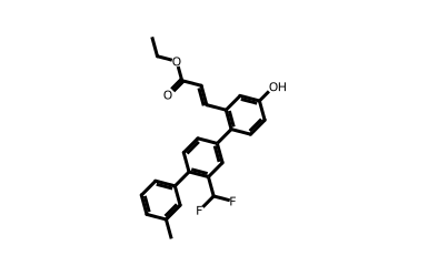 CCOC(=O)/C=C/c1cc(O)ccc1-c1ccc(-c2cccc(C)c2)c(C(F)F)c1